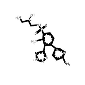 Cc1c(S(=O)(=O)NC[C@H](O)CN)ccc(-c2ccc(N)nc2)c1-c1nn[nH]n1